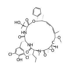 CC[C@H](C)[C@H]1C(=O)N[C@H](Cc2cc(Cl)c(O)c(Cl)c2)C(=O)N[C@@H](C(C)(C)O)C(=O)O[C@H](c2ccccc2)[C@H](C)C=CC=C(C)[C@H](OC)C[C@@H]2O[C@@]2(C)C(=O)N1C